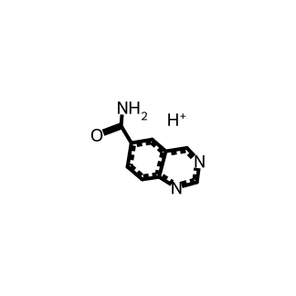 NC(=O)c1ccc2ncncc2c1.[H+]